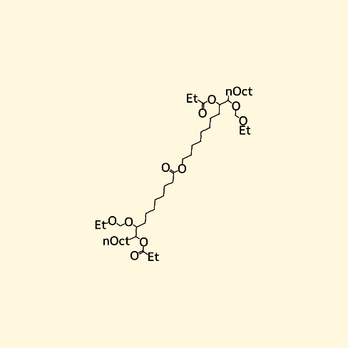 CCCCCCCCC(OCOCC)C(CCCCCCCCOC(=O)CCCCCCCC(OCOCC)C(CCCCCCCC)OC(=O)CC)OC(=O)CC